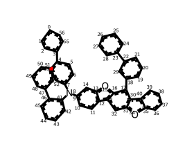 c1ccc(-c2ccc(N(c3ccc4c(c3)oc3c(-c5cccc(-c6ccccc6)c5)c5c(cc34)oc3ccccc35)c3ccccc3-c3ccccc3)cc2)cc1